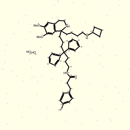 COc1cc2c(cc1OC)C(CCCCNC1CCC1)(CCCC(CCCNC(=O)CCc1ccc(F)cc1)(c1ccccc1)c1ccccc1)NCC2.Cl.Cl